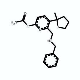 CC1(c2ccc(OC(N)=O)nc2CNCc2ccccc2)CCCO1